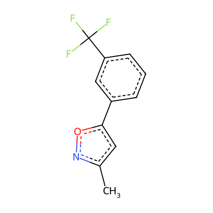 Cc1cc(-c2cccc(C(F)(F)F)c2)on1